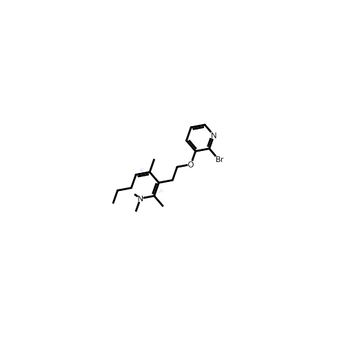 CCC/C=C(C)\C(CCOc1cccnc1Br)=C(\C)N(C)C